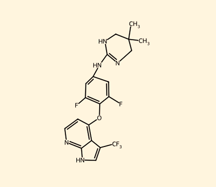 CC1(C)CN=C(Nc2cc(F)c(Oc3ccnc4[nH]cc(C(F)(F)F)c34)c(F)c2)NC1